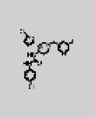 O=C(Nc1ccc(Cl)cc1)N[C@@H]1CCN(Cc2cncc(F)c2)C[C@H]1c1ccc(Cl)s1